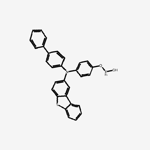 OBOc1ccc(N(c2ccc(-c3ccccc3)cc2)c2ccc3sc4ccccc4c3c2)cc1